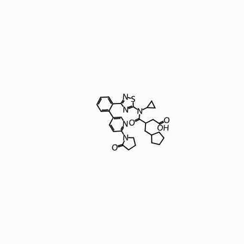 O=C(O)CC(CC1CCCC1)C(=O)N(c1nc(-c2ccccc2-c2ccc(N3CCCC3=O)nc2)ns1)C1CC1